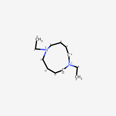 CCN1CCCCN(CC)CCCC1